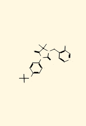 CC1(C)C(=O)N(c2ccc(SC(F)(F)F)cc2)C(=O)N1Cc1ccncc1Br